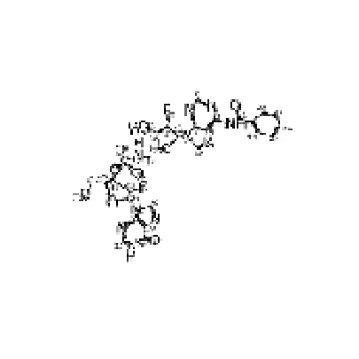 O=C(Nc1ncnc2c1ncn2[C@@H]1O[C@H](CNS(=O)(=O)O[C@H]2[C@@H](F)[C@H](n3cnc4c(=O)[nH]cnc43)O[C@@H]2CO)[C@@H](O)[C@H]1F)c1ccccc1